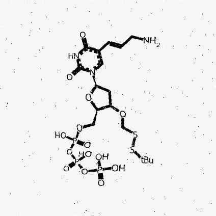 CC(C)(C)SSCOC1C[C@H](n2cc(/C=C/CN)c(=O)[nH]c2=O)O[C@@H]1COP(=O)(O)OP(=O)(O)OP(=O)(O)O